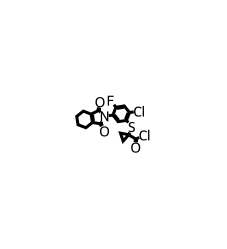 O=C1C2=C(CCCC2)C(=O)N1c1cc(SC2(C(=O)Cl)CC2)c(Cl)cc1F